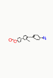 Cc1cc(-c2ccc(OC=O)cc2)ccc1-c1ccc(C#N)cc1